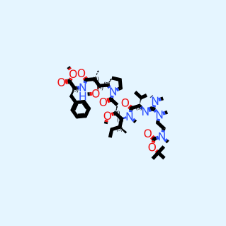 CC[C@H](C)[C@@H]([C@@H](CC(=O)N1CCC[C@H]1[C@H](OC)[C@@H](C)C(=O)N[C@@H](Cc1ccccc1)C(=O)OC)OC)N(C)C(=O)[C@@H](N=C(N(C)C)N(C)CCN(C)C(=O)OC(C)(C)C)C(C)C